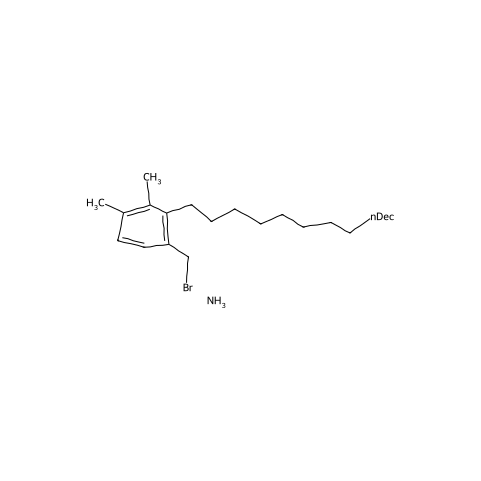 CCCCCCCCCCCCCCCCCCc1c(CBr)ccc(C)c1C.N